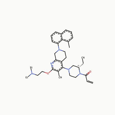 C=CC(=O)N1CCN(c2c(C#N)c(OCCN(CC)CC)nc3c2CCN(c2cccc4cccc(C)c24)C3)C[C@@H]1CC#N